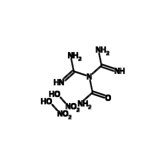 N=C(N)N(C(=N)N)C(N)=O.O=[N+]([O-])O.O=[N+]([O-])O